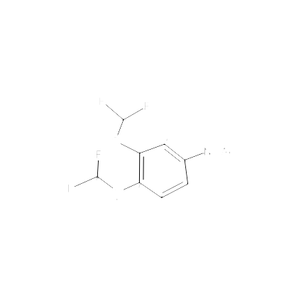 CC(=O)Nc1ccc(OC(F)F)c(OC(F)F)c1